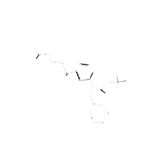 CC(C)(C)OC(=O)N(CC1CCCCC1)c1cccc(C(=O)CCNC(=O)O)c1